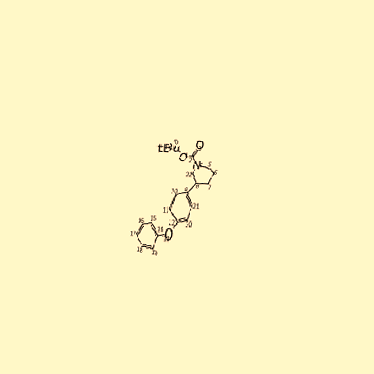 CC(C)(C)OC(=O)N1CCCC(c2ccc(Oc3ccccc3)cc2)C1